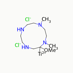 CO[C]1([Ti+2])CNCCNCCN(C)CCN1C.[Cl-].[Cl-]